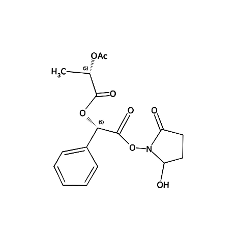 CC(=O)O[C@@H](C)C(=O)O[C@H](C(=O)ON1C(=O)CCC1O)c1ccccc1